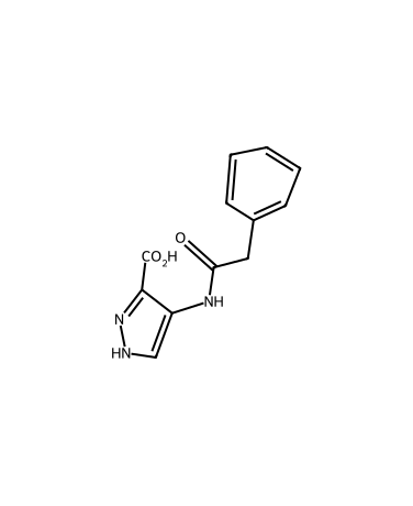 O=C(Cc1ccccc1)Nc1c[nH]nc1C(=O)O